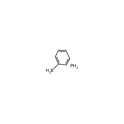 Bc1ccccc1.P